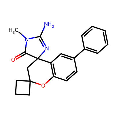 CN1C(=O)C2(CC3(CCC3)Oc3ccc(-c4ccccc4)cc32)N=C1N